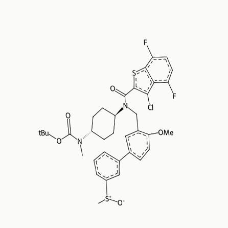 COc1ccc(-c2cccc([S+](C)[O-])c2)cc1CN(C(=O)c1sc2c(F)ccc(F)c2c1Cl)[C@H]1CC[C@H](N(C)C(=O)OC(C)(C)C)CC1